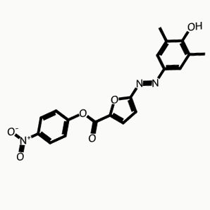 Cc1cc(/N=N/c2ccc(C(=O)Oc3ccc([N+](=O)[O-])cc3)o2)cc(C)c1O